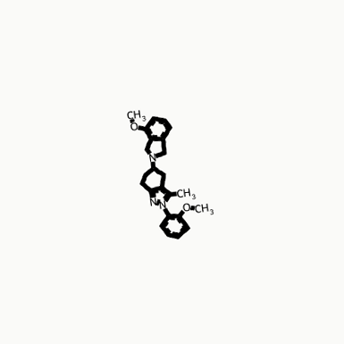 COc1ccccc1-n1nc2c(c1C)CC(N1Cc3cccc(OC)c3C1)CC2